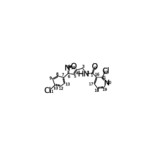 O=C(NCc1cc(-c2ccc(Cl)cc2)no1)c1cccnc1Cl